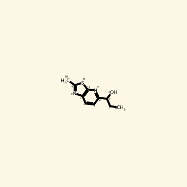 CCC(O)c1ccc2nc(C)sc2n1